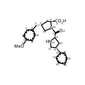 COc1ccc(C[C@@H]2C[C@@H](C(=O)O)N(C(=O)[C@H]3C[C@@H](c4ccccc4)CN3)C2)cc1